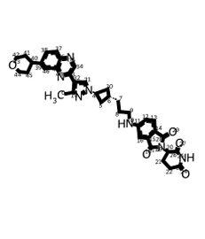 Cc1nn([C@H]2C[C@@H](CCCNc3ccc4c(c3)C(=O)N(C3CCC(=O)NC3=O)C4=O)C2)cc1-c1cnc2ccc(C3CCOCC3)cc2n1